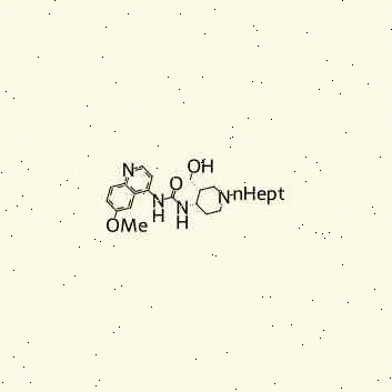 CCCCCCCN1CC[C@H](NC(=O)Nc2ccnc3ccc(OC)cc23)[C@H](CO)C1